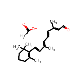 CC(=O)O.CC(C=CC=C(C)C=CC1=C(C)CCCC1(C)C)=CC=O